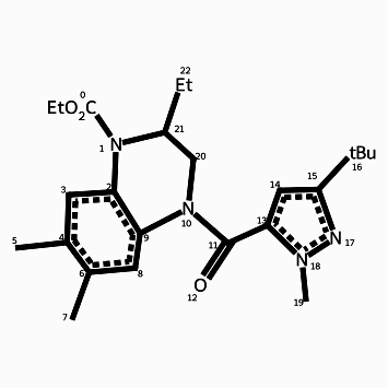 CCOC(=O)N1c2cc(C)c(C)cc2N(C(=O)c2cc(C(C)(C)C)nn2C)CC1CC